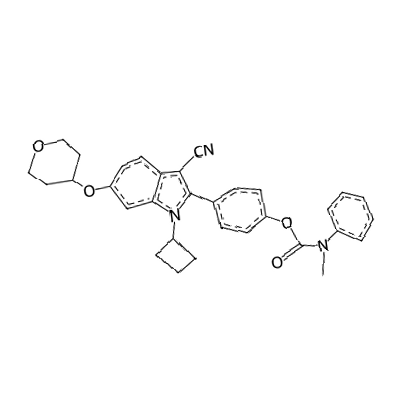 CN(C(=O)Oc1ccc(-c2c(C#N)c3ccc(OC4CCOCC4)cc3n2C2CCC2)cc1)c1ccccc1